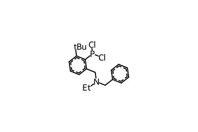 CCN(Cc1ccccc1)Cc1cccc(C(C)(C)C)c1P(Cl)Cl